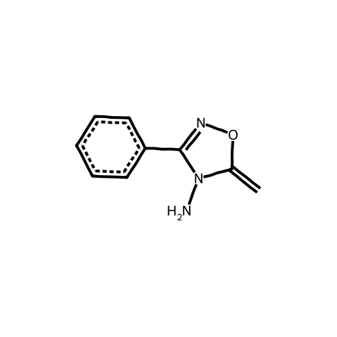 C=C1ON=C(c2ccccc2)N1N